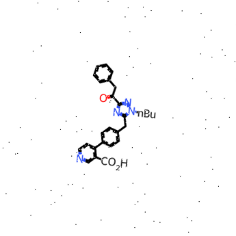 CCCCn1nc(C(=O)Cc2ccccc2)nc1Cc1ccc(-c2ccncc2C(=O)O)cc1